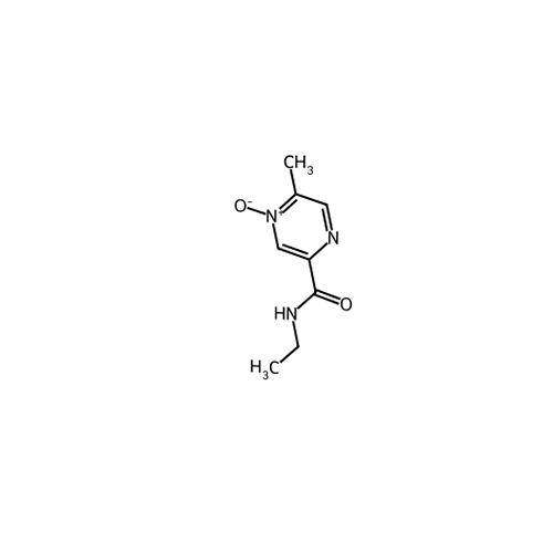 CCNC(=O)c1c[n+]([O-])c(C)cn1